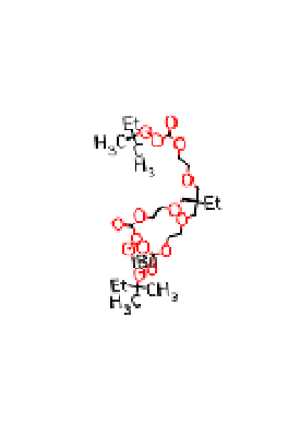 CCC(COCCOC(=O)OOC(C)(C)C)(COCCOC(=O)OOC(C)(C)CC)COCCOC(=O)OOC(C)(C)CC